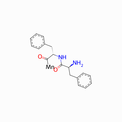 N[C@@H](Cc1ccccc1)C(=O)N[C@@H](Cc1ccccc1)[C](=O)[Mn]